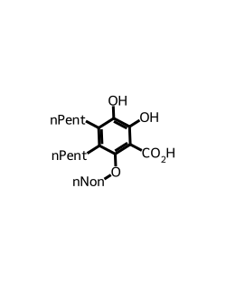 CCCCCCCCCOc1c(CCCCC)c(CCCCC)c(O)c(O)c1C(=O)O